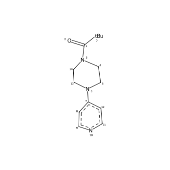 CC(C)(C)C(=O)N1CCN(c2ccncc2)CC1